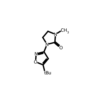 CN1CCN(c2cc(C(C)(C)C)on2)C1=O